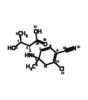 C[C@H](O)[C@@H](NC1(C)C=CC(C#N)=C(Cl)C1)C(=O)O